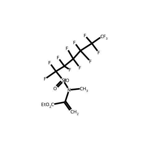 C=C(C(=O)OCC)N(C)S(=O)(=O)C(F)(F)C(F)(F)C(F)(F)C(F)(F)C(F)(F)C(F)(F)F